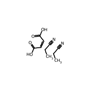 CCC#N.CCC#N.O=C(O)/C=C\C(=O)O